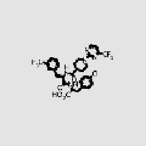 O=C(N[C@@H](Cc1ccc(Cl)cc1)C(=O)O)C(=Cc1cccc(C(F)(F)F)c1)NC(=O)C1CCN(c2nccc(C(F)(F)F)n2)CC1